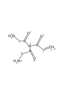 C=CC(=O)N(C(=O)CN)C(=O)CN